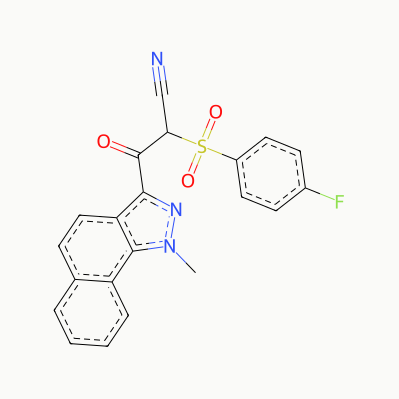 Cn1nc(C(=O)C(C#N)S(=O)(=O)c2ccc(F)cc2)c2ccc3ccccc3c21